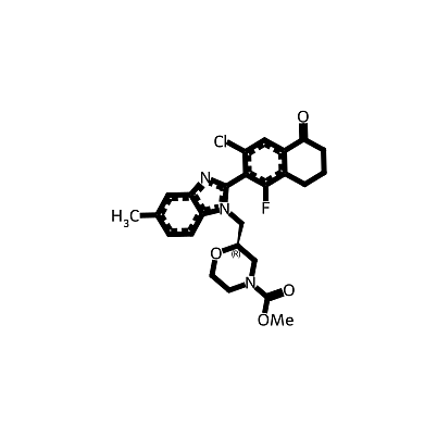 COC(=O)N1CCO[C@@H](Cn2c(-c3c(Cl)cc4c(c3F)CCCC4=O)nc3cc(C)ccc32)C1